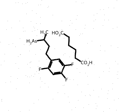 CC([AsH2])CCc1cc(F)c(F)cc1F.O=C(O)CCCCC(=O)O